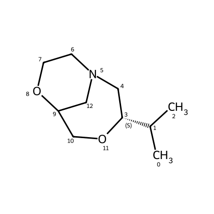 CC(C)[C@H]1CN2CCOC(CO1)C2